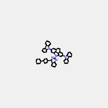 c1ccc(-c2ccc(-c3nc(-n4c5cc(-n6c7ccccc7c7ccccc76)cc6ccc7cc(-n8c9ccccc9c9ccccc98)cc4c7c65)nc4ccccc34)cc2)cc1